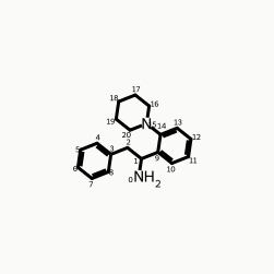 NC(Cc1ccccc1)c1ccccc1N1CCCCC1